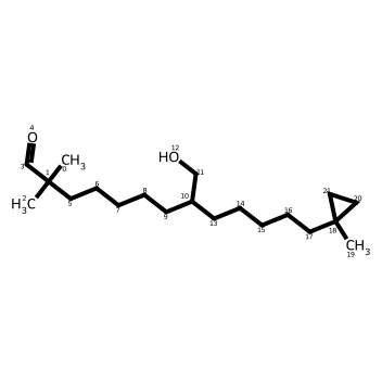 CC(C)(C=O)CCCCCC(CO)CCCCCC1(C)CC1